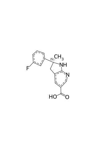 C[C@@]1(c2cccc(F)c2)Cc2cc(C(=O)O)cnc2N1